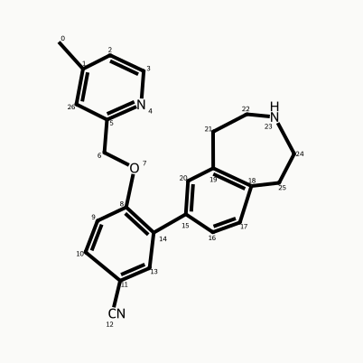 Cc1ccnc(COc2ccc(C#N)cc2-c2ccc3c(c2)CCNCC3)c1